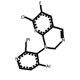 CC(=O)c1ccnc(C(C)C)c1N1CN=Cc2cc(F)c(Cl)nc21